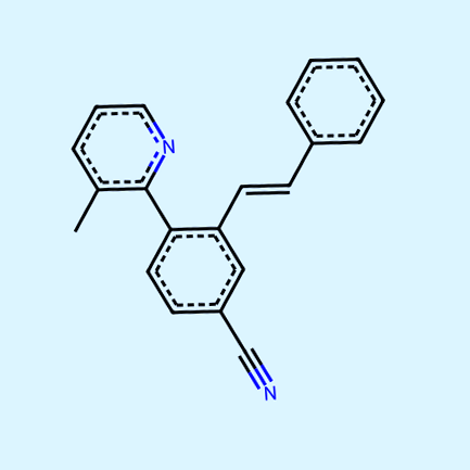 Cc1cccnc1-c1ccc(C#N)cc1/C=C/c1ccccc1